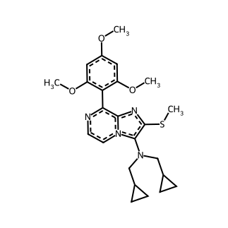 COc1cc(OC)c(-c2nccn3c(N(CC4CC4)CC4CC4)c(SC)nc23)c(OC)c1